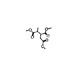 COC(=O)CC(C(=O)OC)C(C)C(=O)OC